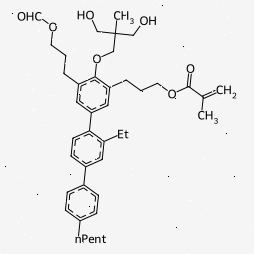 C=C(C)C(=O)OCCCc1cc(-c2ccc(-c3ccc(CCCCC)cc3)cc2CC)cc(CCCOC=O)c1OCC(C)(CO)CO